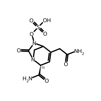 NC(=O)CC1=C[C@@H](C(N)=O)N2CC1N(OS(=O)(=O)O)C2=O